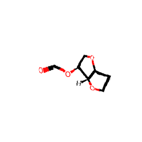 O=CO[C@H]1COC2CCO[C@@H]21